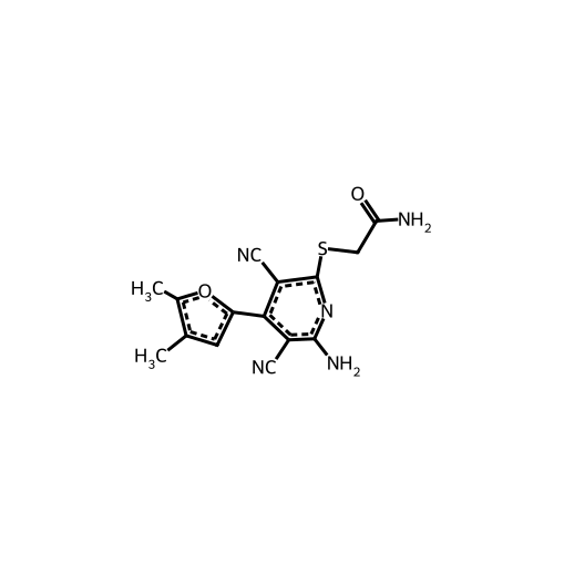 Cc1cc(-c2c(C#N)c(N)nc(SCC(N)=O)c2C#N)oc1C